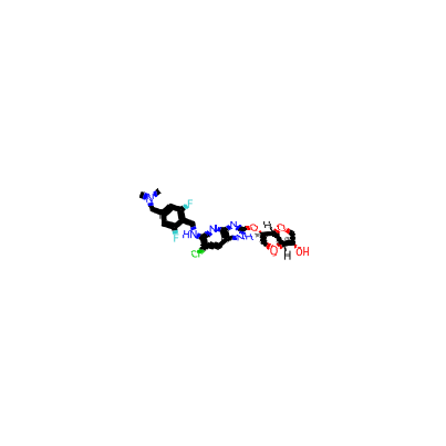 CN(C)Cc1cc(F)c(CNc2nc3nc(O[C@@H]4CO[C@H]5[C@@H]4OC[C@H]5O)[nH]c3cc2Cl)c(F)c1